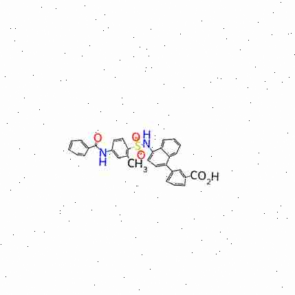 Cc1cc(NC(=O)c2ccccc2)ccc1S(=O)(=O)Nc1ccc(-c2cccc(C(=O)O)c2)c2ccccc12